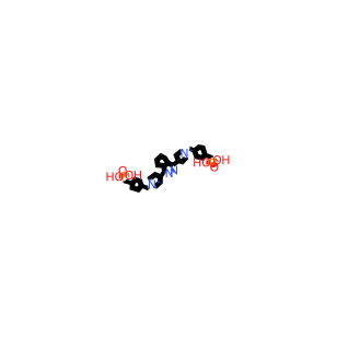 O=P(O)(O)Cc1ccc(C[n+]2ccc(-c3nnc(-c4cc[n+](Cc5ccc(CP(=O)(O)O)cc5)cc4)c4ccccc34)cc2)cc1